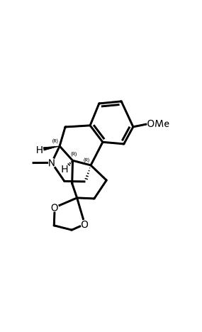 COc1ccc2c(c1)[C@]13CCN(C)[C@H](C2)[C@@H]1CC1(CC3)OCCO1